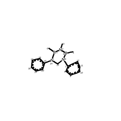 CB1N(C)B(C)N(c2ccccc2)CN1c1ccccc1